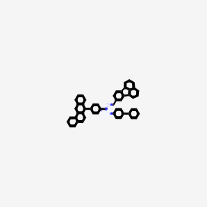 c1ccc(-c2ccc(N/C(=N\Cc3ccc4c(c3)-c3cccc5cccc-4c35)c3ccc(-c4c5ccccc5cc5c4ccc4ccccc45)cc3)cc2)cc1